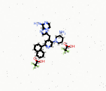 Nc1nccn2c(Cc3cc(-c4cccc5ccccc45)ncc3N3CCC[C@@H](N)C3)cnc12.O=C(O)C(F)(F)F.O=C(O)C(F)(F)F